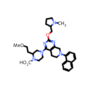 COCCC1CN(c2nc(OCC3CCCN3C)nc3c2CCN(c2cccc4ccccc24)C3)CCN1C(=O)O